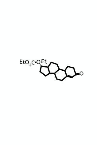 CCOC(=O)O[C@H]1CCC2C3CCC4=CC(=O)CCC4C3CC[C@@]21CC